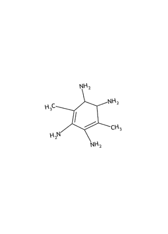 CC1=C(N)C(N)=C(C)C(N)C1N